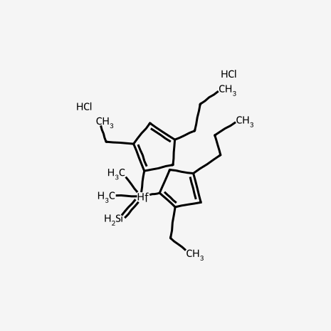 CCCC1=CC(CC)=[C]([Hf]([CH3])([CH3])(=[SiH2])[C]2=C(CC)C=C(CCC)C2)C1.Cl.Cl